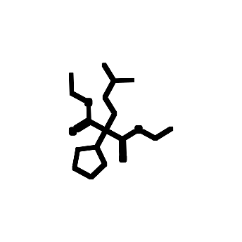 CCOC(=O)C(CCC(C)C)(C(=O)OCC)C1CCCC1